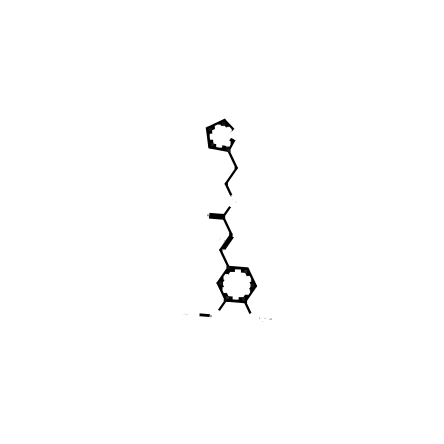 CCCCCOc1cc(/C=C/C(=O)NCCc2cccs2)ccc1OC